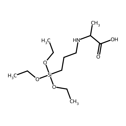 CCO[Si](CCCNC(C)C(=O)O)(OCC)OCC